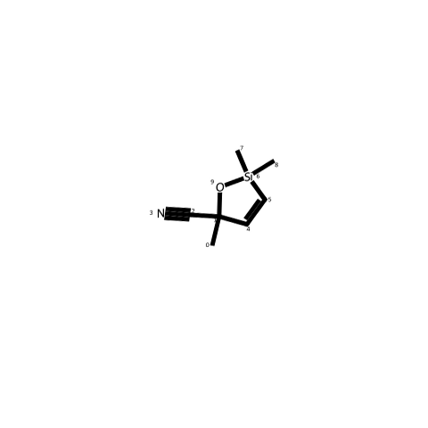 CC1(C#N)C=C[Si](C)(C)O1